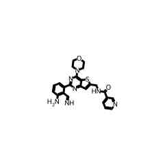 N=Cc1c(N)cccc1-c1nc(N2CCOCC2)c2sc(CNC(=O)c3cccnc3)cc2n1